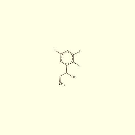 C=CC(O)c1cc(F)cc(F)c1F